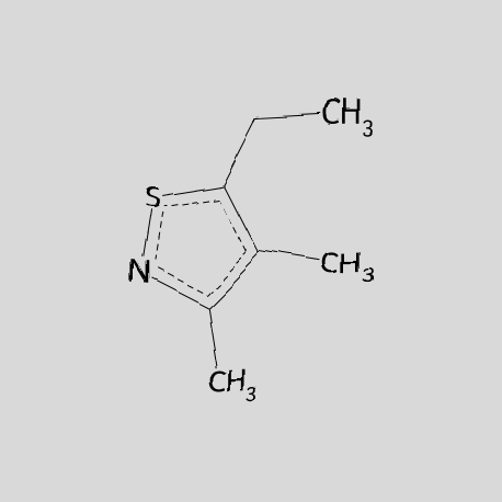 CCc1snc(C)c1C